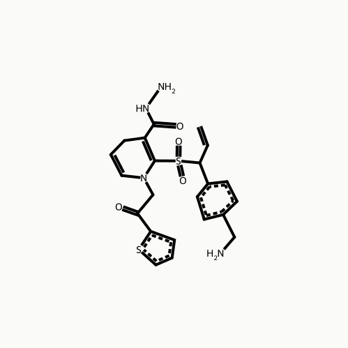 C=CC(c1ccc(CN)cc1)S(=O)(=O)C1=C(C(=O)NN)CC=CN1CC(=O)c1cccs1